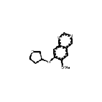 COc1cc2cncnc2cc1OC1CCOC1